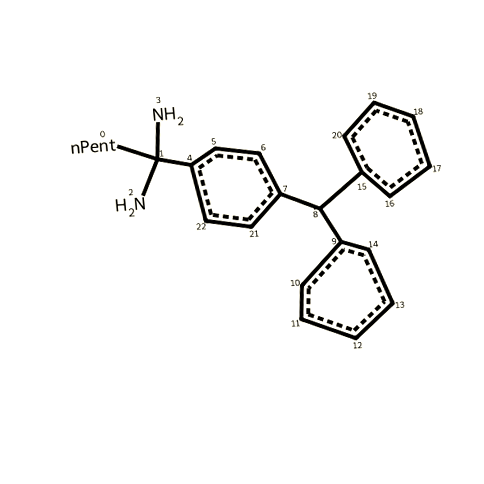 CCCCCC(N)(N)c1ccc([C](c2ccccc2)c2ccccc2)cc1